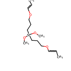 CC=COCCC[Si](CCCOC=CC)(OC)OC